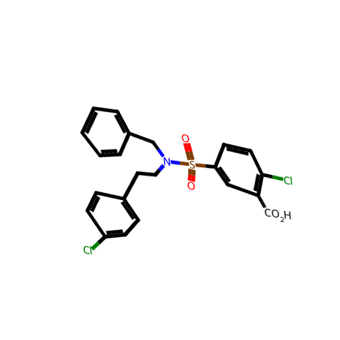 O=C(O)c1cc(S(=O)(=O)N(CCc2ccc(Cl)cc2)Cc2ccccc2)ccc1Cl